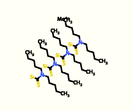 CCCCCN(CCCCC)C(=S)[S-].CCCCCN(CCCCC)C(=S)[S-].CCCCCN(CCCCC)C(=S)[S-].CCCCCN(CCCCC)C(=S)[S-].[Mo+4]